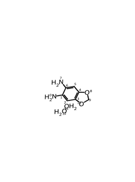 Nc1cc2c(cc1N)OCO2.O.O